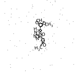 C=CC(=O)N1CC[C@H](n2c(=O)n([C@H]3C[C@H](c4cc(OC)cc(OC)c4)C3)c3c(N)ncnc32)C1